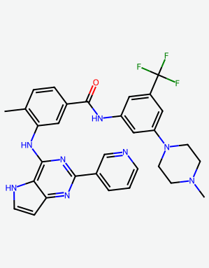 Cc1ccc(C(=O)Nc2cc(N3CCN(C)CC3)cc(C(F)(F)F)c2)cc1Nc1nc(-c2cccnc2)nc2cc[nH]c12